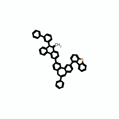 C=C1c2ccc(-c3ccc4c(c3)-c3cc(-c5cccc6sc7ccccc7c56)ccc3C=C(c3ccccc3)C4)cc2-c2ccccc2C1c1cccc(-c2ccccc2)c1